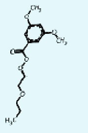 CCCOC[CH]OOC(=O)c1cc(OC)cc(OC)c1